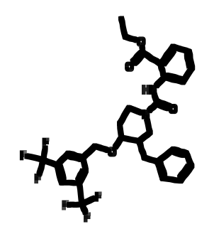 CCOC(=O)c1ccccc1NC(=O)N1CCC(OCc2cc(C(F)(F)F)cc(C(F)(F)F)c2)C(Cc2ccccc2)C1